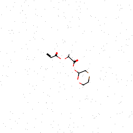 C=CC(=O)OC(CC)C(=O)OC1CSCCO1